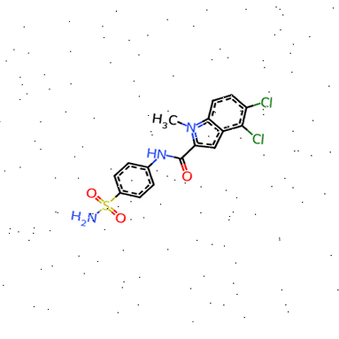 Cn1c(C(=O)Nc2ccc(S(N)(=O)=O)cc2)cc2c(Cl)c(Cl)ccc21